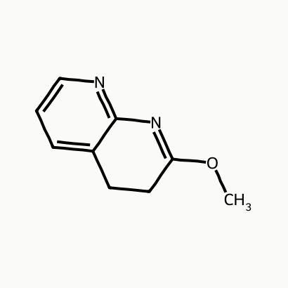 COC1=Nc2ncccc2CC1